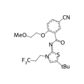 COCCOc1ccc(C#N)cc1C(=O)/N=c1\sc(C(C)(C)C)cn1CCC(F)(F)F